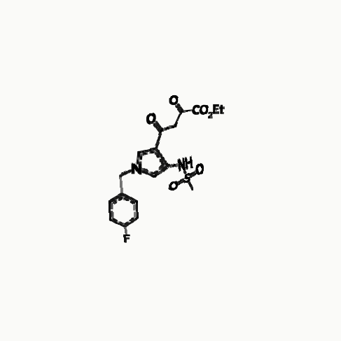 CCOC(=O)C(=O)CC(=O)c1cn(Cc2ccc(F)cc2)cc1NS(C)(=O)=O